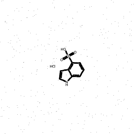 Cl.O=S(=O)(O)c1cccc2[nH]ccc12